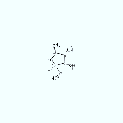 B[C@@H]1O[C@](F)(CO)[C@@H](O)[C@H]1C#N